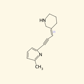 Cc1cccc(C#C/C=C2/CCCNC2)n1